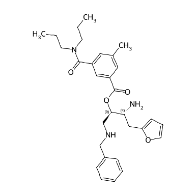 CCCN(CCC)C(=O)c1cc(C)cc(C(=O)O[C@H](CNCc2ccccc2)[C@H](N)Cc2ccco2)c1